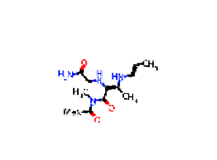 CC=CN/C(C)=C(\NCC(N)=O)C(=O)N(C)C(=O)NC